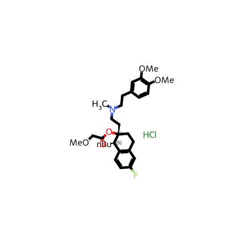 CCCC[C@H]1c2ccc(F)cc2CC[C@@]1(CCN(C)CCc1ccc(OC)c(OC)c1)OC(=O)COC.Cl